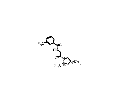 C[C@@H]1C[C@H](N)CN1C(=O)CNC(=O)c1cccc(C(F)(F)F)c1